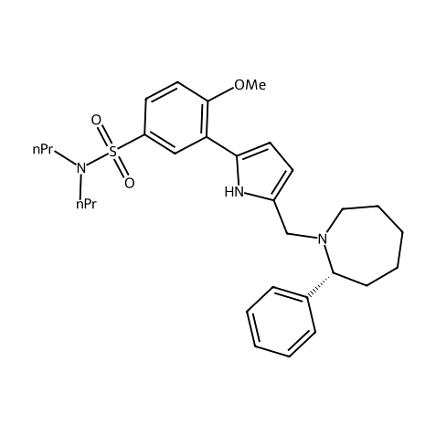 CCCN(CCC)S(=O)(=O)c1ccc(OC)c(-c2ccc(CN3CCCCC[C@@H]3c3ccccc3)[nH]2)c1